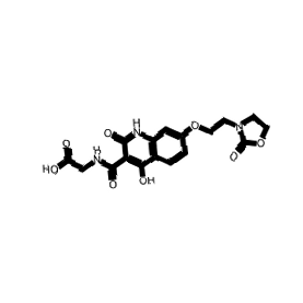 O=C(O)CNC(=O)c1c(O)c2ccc(OCCN3CCOC3=O)cc2[nH]c1=O